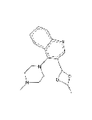 CC1OC(c2cnc3ccccc3c2N2CCN(C)CC2)O1